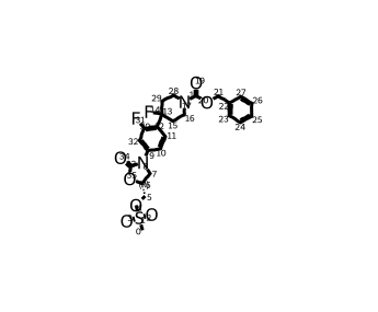 CS(=O)(=O)OC[C@H]1CN(c2ccc(C3(F)CCN(C(=O)OCc4ccccc4)CC3)c(F)c2)C(=O)O1